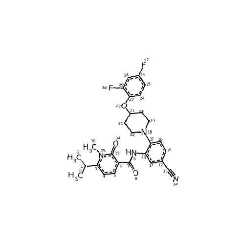 CC(C)c1ccc(C(=O)Nc2cc(C#N)ccc2N2CCC(Oc3ccc(F)cc3F)CC2)c(=O)n1C